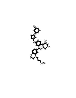 COCCCN1CCOc2ccc(CO[C@H]3CNC[C@H](O)C3c3ccc(O[C@H]4CCN(c5cccc(F)c5)C4)cc3)cc21